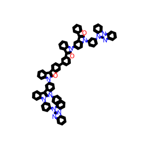 c1ccc(-n2c3ccc(-n4c5ccccc5c5c6ccc(-c7ccc8oc9c(c8c7)c7ccccc7n9-c7ccc8c(c7)c7c9ccccc9oc7n8-c7cccc(-n8c9ccccc9n9c%10ccccc%10nc89)c7)cc6oc54)cc3c3c4ccccc4n(-c4cccc(-n5c6ccccc6n6c7ccccc7nc56)c4)c32)cc1